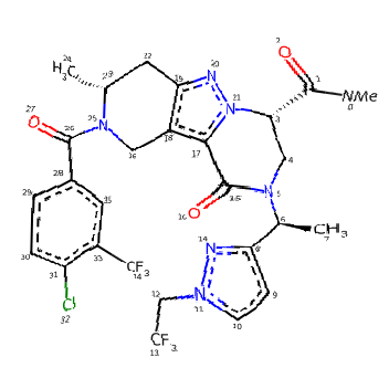 CNC(=O)[C@@H]1CN([C@@H](C)c2ccn(CC(F)(F)F)n2)C(=O)c2c3c(nn21)C[C@@H](C)N(C(=O)c1ccc(Cl)c(C(F)(F)F)c1)C3